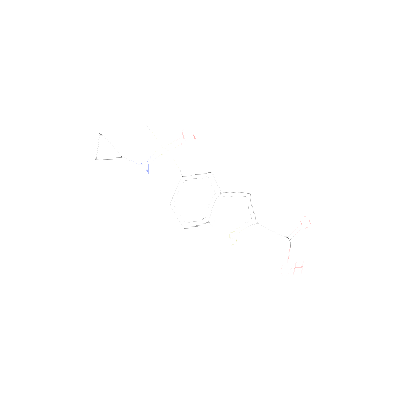 CS(=O)(=NC1CC1)c1ccc2sc(C(=O)O)cc2c1